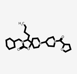 CCCCC1N(CC2CCCCC2)C(=O)OC12CCN(C1CCN(C(=O)C3CCCO3)CC1)CC2